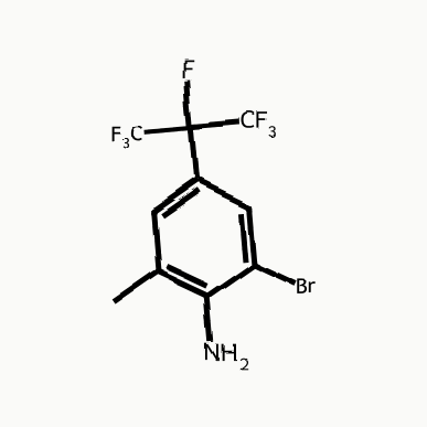 Cc1cc(C(F)(C(F)(F)F)C(F)(F)F)cc(Br)c1N